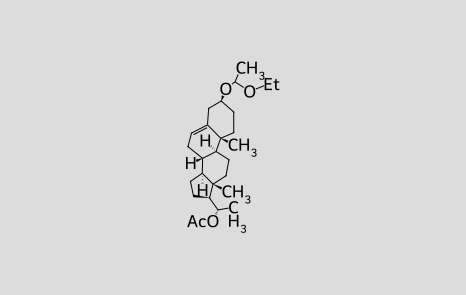 CCOC(C)O[C@H]1CC[C@@]2(C)C(=CC[C@H]3[C@@H]4CC[C@H]([C@H](C)OC(C)=O)[C@@]4(C)CC[C@@H]32)C1